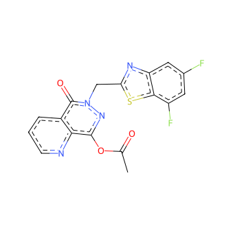 CC(=O)Oc1nn(Cc2nc3cc(F)cc(F)c3s2)c(=O)c2cccnc12